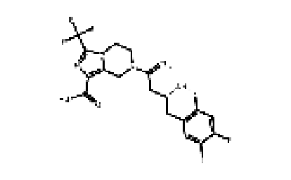 C=C(C[C@H](N)Cc1cc(F)c(F)cc1F)N1CCn2c(C(F)(F)F)nc(C(N)=O)c2C1